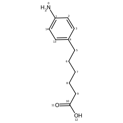 Nc1ccc(CCCCCC(=O)O)cc1